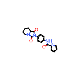 O=C(Nc1ccc(N2C(=O)C3CCCCN3C2=O)cc1)c1ccccn1